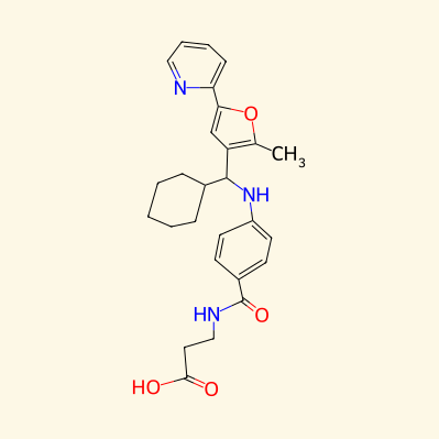 Cc1oc(-c2ccccn2)cc1C(Nc1ccc(C(=O)NCCC(=O)O)cc1)C1CCCCC1